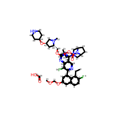 CCc1c(F)ccc2cc(OCOC)cc(-c3ncc4c(N5CC6CCC(C5)N6C(=O)OC(C)(C)C)nc(OC[C@@H]5C[C@@H](OC6CCNCC6)CN5C)nc4c3F)c12.O=CO